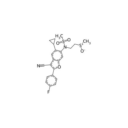 C[S+]([O-])CCN(c1cc2oc(-c3ccc(F)cc3)c(C#N)c2cc1C1CC1)S(C)(=O)=O